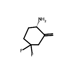 C=C1CC(F)(F)CC[C@@H]1N